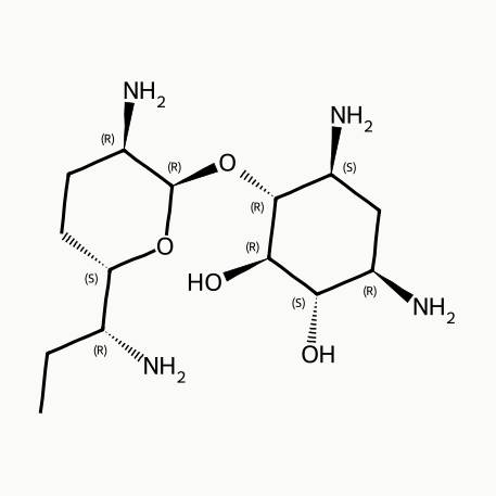 CC[C@@H](N)[C@@H]1CC[C@@H](N)[C@@H](O[C@H]2[C@H](O)[C@@H](O)[C@H](N)C[C@@H]2N)O1